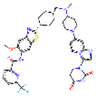 COc1cc2nc([C@H]3CC[C@H](CN(C)C4CCN(c5ccn6c(N7CCC(=O)NC7=O)cnc6c5)CC4)CC3)sc2cc1NC(=O)c1cccc(C(F)(F)F)n1